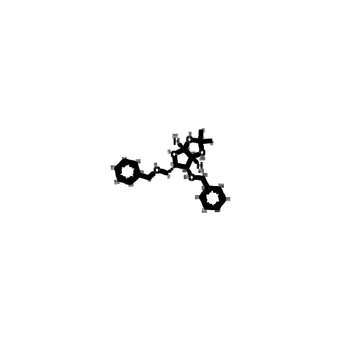 CC1(C)O[C@H]2O[C@@H](COCc3ccccc3)[C@H](OCc3ccccc3)[C@H]2O1